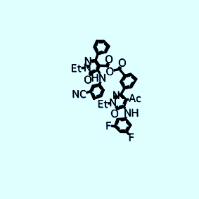 CCn1nc(-c2cccc(C(=O)OC(=O)c3c(-c4ccccc4)nn(CC)c(=O)c3Nc3cccc(C#N)c3)c2)c(C(C)=O)c(Nc2cc(F)cc(F)c2)c1=O